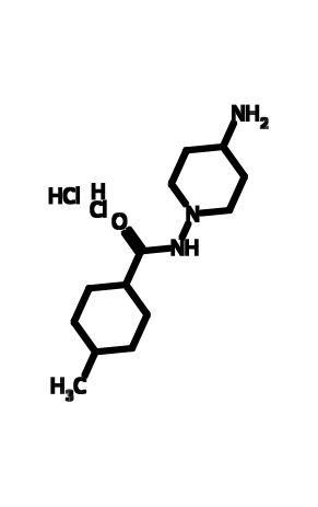 CC1CCC(C(=O)NN2CCC(N)CC2)CC1.Cl.Cl